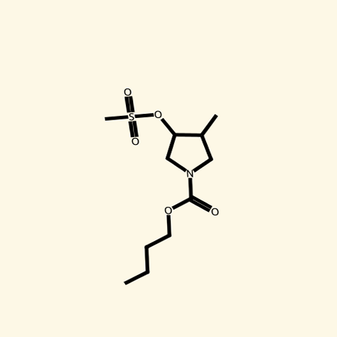 CCCCOC(=O)N1CC(C)C(OS(C)(=O)=O)C1